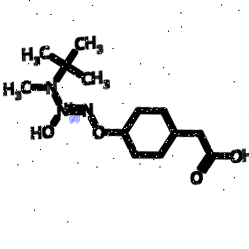 CN(/[N+](O)=N/OC1CCC(CC(=O)O)CC1)C(C)(C)C